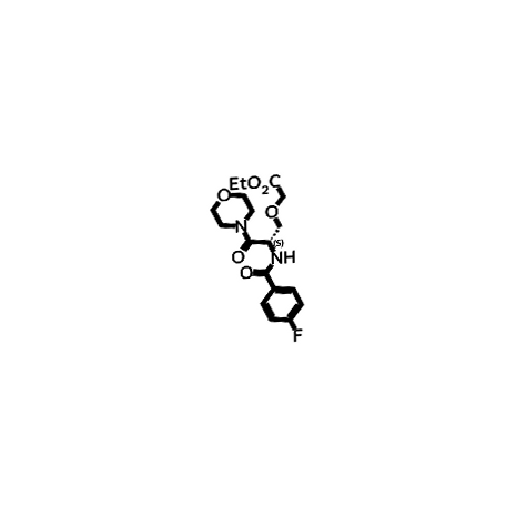 CCOC(=O)COC[C@H](NC(=O)c1ccc(F)cc1)C(=O)N1CCOCC1